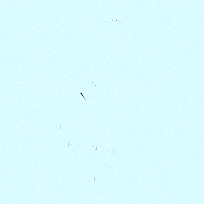 COc1ccc(N2C(=O)[C@H]([C@@H](C)O[Si](C)(C)C(C)(C)C(C)C)[C@H]2C(=O)c2ccccc2)cc1